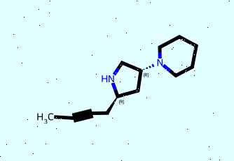 CC#CC[C@@H]1C[C@@H](N2CCCCC2)CN1